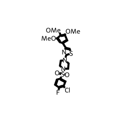 COc1cc(-c2csc(N3CCN(S(=O)(=O)c4ccc(F)c(Cl)c4)CC3)n2)cc(OC)c1OC